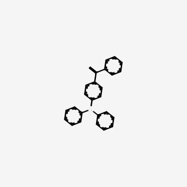 C=C(c1ccccc1)c1ccc(N(c2ccccc2)c2ccccc2)cc1